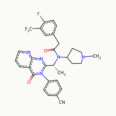 C[C@H](c1nc2ncccc2c(=O)n1-c1ccc(C#N)cc1)N(C(=O)Cc1ccc(F)c(C(F)(F)F)c1)C1CCN(C)CC1